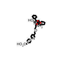 Nc1nnc(-c2ccccc2O)cc1N1CC2CCC(C1)N2c1ccnc(CCCOCCc2ccc(N3CCN(CC(=O)O)CC3)nc2)c1